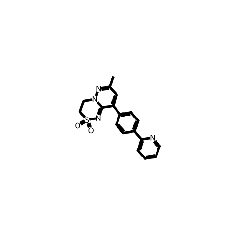 CC1=NN2CCS(=O)(=O)N=C2C(c2ccc(-c3ccccn3)cc2)=C1